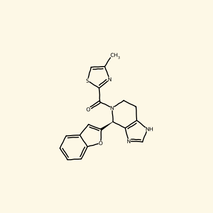 Cc1csc(C(=O)N2CCc3[nH]cnc3[C@H]2c2cc3ccccc3o2)n1